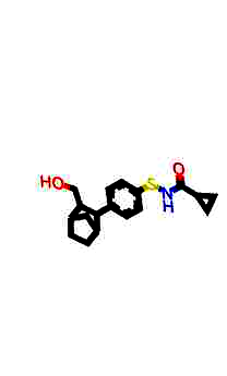 O=C(NSc1ccc(C2C3CCC(C3)C2CO)cc1)C1CC1